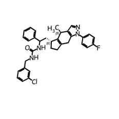 C[C@@H]1C2=C(CC[C@@H]2CC(NC(=O)NCc2cccc(Cl)c2)c2ccccc2)Cc2c1cnn2-c1ccc(F)cc1